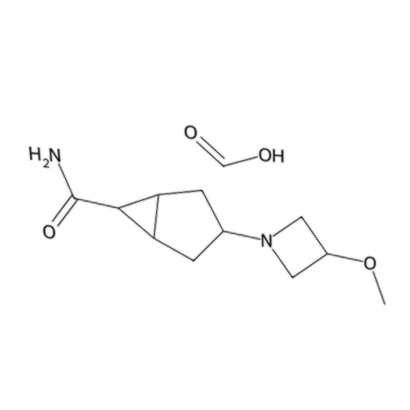 COC1CN(C2CC3C(C2)C3C(N)=O)C1.O=CO